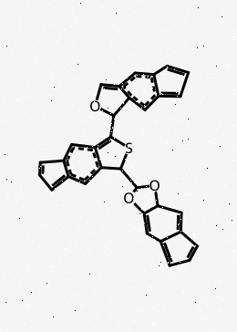 C1=CC2=CC3O[C](C4SC(C5OC=c6cc7c(cc65)=CC=C7)=c5cc6c(cc54)=CC=C6)OC3=CC2=C1